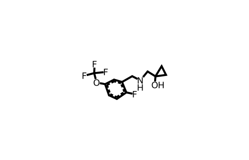 OC1(CNCc2cc(OC(F)(F)F)ccc2F)CC1